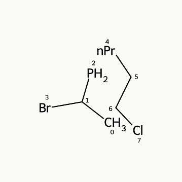 CC(P)Br.CCCCCCl